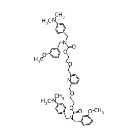 COc1cccc(CN(Cc2ccc(N(C)C)cc2)C(=O)OCCOCc2cccc(COCCOC(=O)N(Cc3ccc(N(C)C)cc3)Cc3cccc(OC)c3)n2)c1